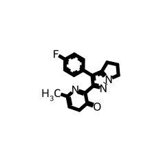 CC1=CCC(=O)C(c2nn3c(c2-c2ccc(F)cc2)CCC3)=N1